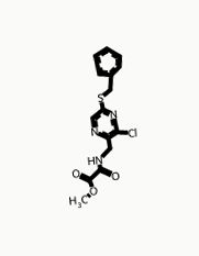 COC(=O)C(=O)NCc1ncc(SCc2ccccc2)nc1Cl